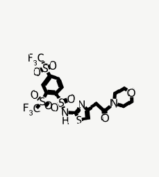 O=C(Cc1csc(NS(=O)(=O)c2ccc(S(=O)(=O)C(F)(F)F)cc2S(=O)(=O)C(F)(F)F)n1)N1CCOCC1